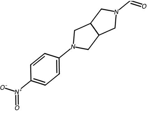 O=CN1CC2CN(c3ccc([N+](=O)[O-])cc3)CC2C1